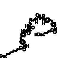 CCCCCCCCCCCCCCCCCCOC(=O)Nc1ccc(Cc2ccc(NC(=O)C(C)(C)C(=O)NCCN(C)CCNC(=O)C(C)(C)C(=O)Nc3ccc(Cc4ccc(NC(=O)OCCCCCCCCCCCCCC)cc4)cc3)cc2)cc1